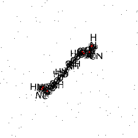 Cc1cc(C#N)c2c(c1)[C@H](Oc1ccc(S(=O)(=O)NCCOCCOCCNC(=O)NCCCCNC(=O)NCCOCCOCCNS(=O)(=O)c3ccc(O[C@H]4c5cc(C)cc(C#N)c5C[C@@H]4N4CCNCC4)cc3)cc1)[C@@H](N1CCNCC1)C2